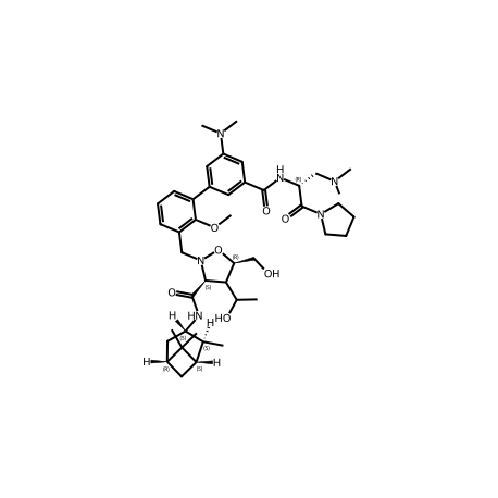 COc1c(CN2O[C@@H](CO)C(C(C)O)[C@H]2C(=O)N[C@H]2C[C@H]3C[C@@H]([C@@H]2C)C3(C)C)cccc1-c1cc(C(=O)N[C@H](CN(C)C)C(=O)N2CCCC2)cc(N(C)C)c1